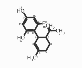 C=C(C)C1CCC(C)=CC1c1c(O)cc(O)cc1F